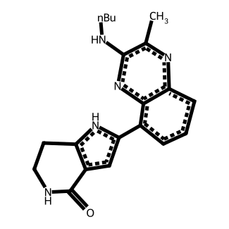 CCCCNc1nc2c(-c3cc4c([nH]3)CCNC4=O)cccc2nc1C